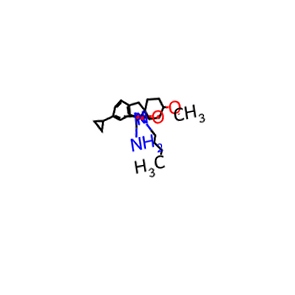 CCCCN1C(=O)C2(N=C1N)c1cc(C3CC3)ccc1CC21CCC(OC)CC1